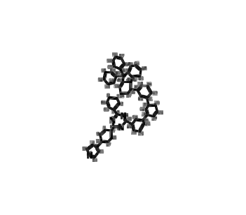 c1ccc(-c2nc(-c3ccc(-c4ccncc4)cc3)nc(-c3cccc(-c4cccc(-c5cccc(-c6cccc7c6-c6ccccc6C7(c6ccccc6)c6ccccc6)c5)c4)c3)n2)cc1